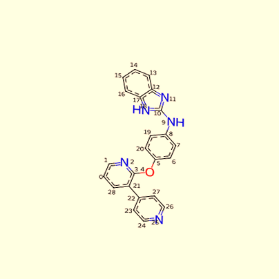 c1cnc(Oc2ccc(Nc3nc4ccccc4[nH]3)cc2)c(-c2ccncc2)c1